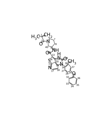 C=C(C)C(=O)N1CCCC(NC(=O)c2sc3nccc4c3c2NC(=O)N4c2ccc(Oc3ccccc3)cc2C)C1